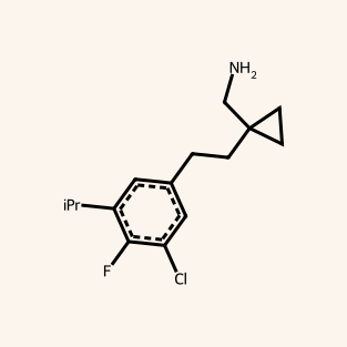 CC(C)c1cc(CCC2(CN)CC2)cc(Cl)c1F